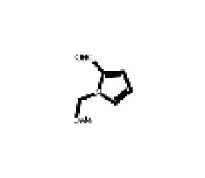 COCn1cccc1C=O